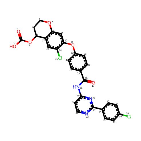 O=C(O)OC1CCOc2cc(Oc3ccc(C(=O)Nc4ccnc(-c5ccc(Cl)cc5)n4)cc3)c(Cl)cc21